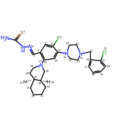 NC(=S)NN=Cc1cc(F)c(N2CCN(Cc3ccccc3Cl)CC2)cc1N1CC[C@@H]2CCCC[C@@H]2C1